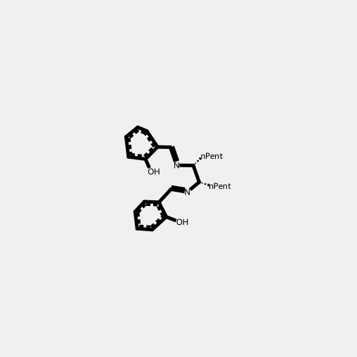 CCCCC[C@H](N=Cc1ccccc1O)[C@@H](CCCCC)N=Cc1ccccc1O